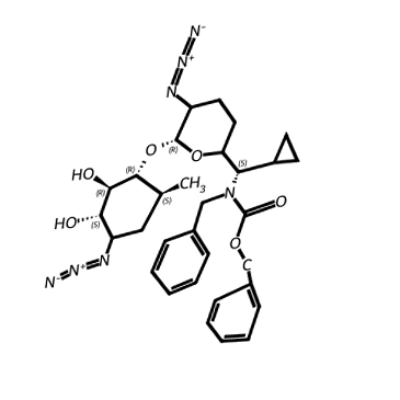 C[C@H]1CC(N=[N+]=[N-])[C@H](O)[C@@H](O)[C@@H]1O[C@H]1OC([C@H](C2CC2)N(Cc2ccccc2)C(=O)OCc2ccccc2)CCC1N=[N+]=[N-]